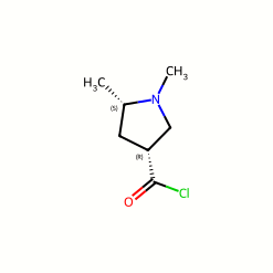 C[C@H]1C[C@@H](C(=O)Cl)CN1C